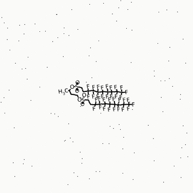 CC(CCOS(=O)(=O)CCC(F)(F)C(F)(F)C(F)(F)C(F)(F)C(F)(F)C(F)(F)C(F)(F)C(F)(F)F)OS(=O)(=O)CCC(F)(F)C(F)(F)C(F)(F)C(F)(F)C(F)(F)C(F)(F)C(F)(F)C(F)(F)F